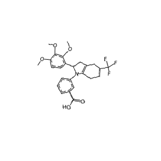 COc1ccc(C2CC3=C(CCC(C(F)(F)F)C3)N2c2cccc(C(=O)O)c2)c(OC)c1OC